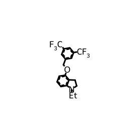 CCN1CCc2c(OCc3cc(C(F)(F)F)cc(C(F)(F)F)c3)cccc21